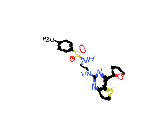 CC(C)(C)c1ccc(S(=O)(=O)NCCNc2nc(-c3ccco3)c3sccc3n2)cc1